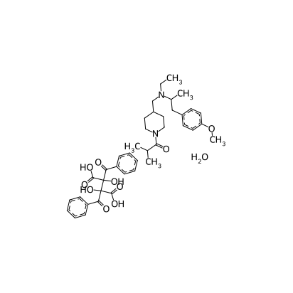 CCN(CC1CCN(C(=O)C(C)C)CC1)C(C)Cc1ccc(OC)cc1.O.O=C(O)C(O)(C(=O)c1ccccc1)C(O)(C(=O)O)C(=O)c1ccccc1